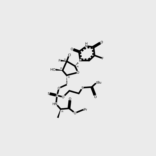 CC(C)OC(=O)[C@@H](C)NP(=S)(OCCSC(=O)C(C)(C)C)OC[C@H]1O[C@@H](n2cc(F)c(=O)[nH]c2=O)[C@@](F)(Cl)[C@@H]1O